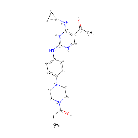 CCC(=O)N1CCN(c2ccc(Nc3ncc(C(C)=O)c(NC4CC4)n3)cc2)CC1